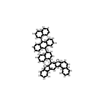 c1ccc2c(-c3c4ccccc4c(-c4ccc(-c5c6oc7ccccc7c6cc6c5oc5ccc7ccccc7c56)c5ccccc45)c4ccccc34)cccc2c1